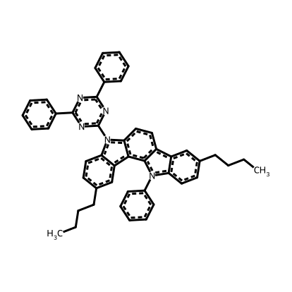 CCCCc1ccc2c(c1)c1c(ccc3c4cc(CCCC)ccc4n(-c4ccccc4)c31)n2-c1nc(-c2ccccc2)nc(-c2ccccc2)n1